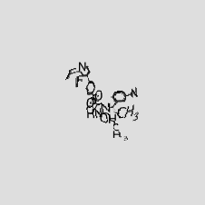 CCCCC1(O)NC(=O)C(S(=O)(=O)c2ccc(-c3ccnc(F)c3F)cc2)=CN1[C@@H](CC)c1cccc(C#N)c1